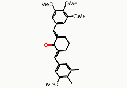 COc1cc(/C=C2\CCC/C(=C\c3cc(OC)c(OC)c(OC)c3)C2=O)cc(C)c1C